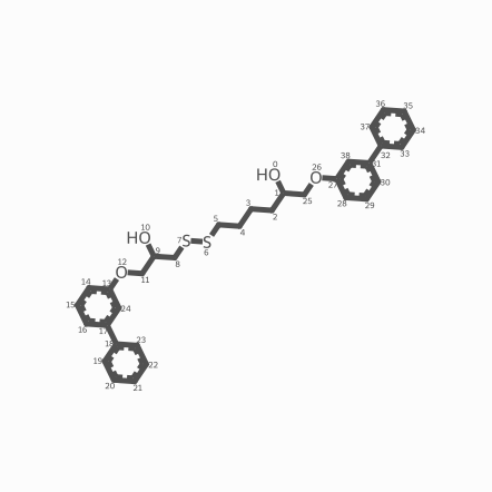 OC(CCCCSSCC(O)COc1cccc(-c2ccccc2)c1)COc1cccc(-c2ccccc2)c1